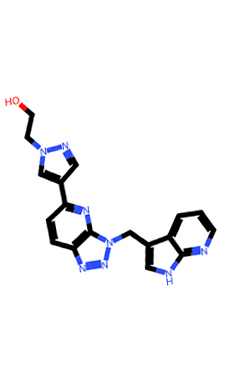 OCCn1cc(-c2ccc3nnn(Cc4c[nH]c5ncccc45)c3n2)cn1